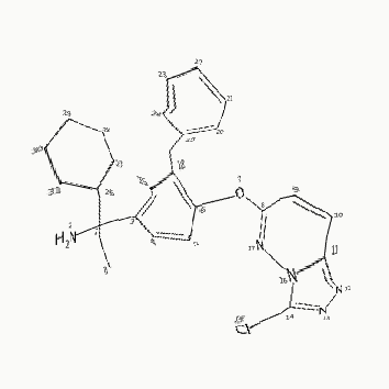 CC(N)(c1ccc(Oc2ccc3nnc(Cl)n3n2)c(-c2ccccc2)c1)C1CCCCC1